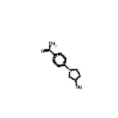 NC(=O)c1ccc(N2CCC(O)C2)cc1